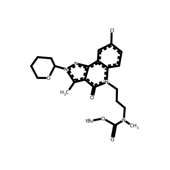 Cc1c2c(=O)n(CCCN(C)C(=O)OC(C)(C)C)c3ccc(Cl)cc3c2nn1C1CCCCO1